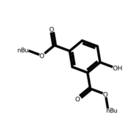 CCCCOC(=O)c1ccc(O)c(C(=O)OCCCC)c1